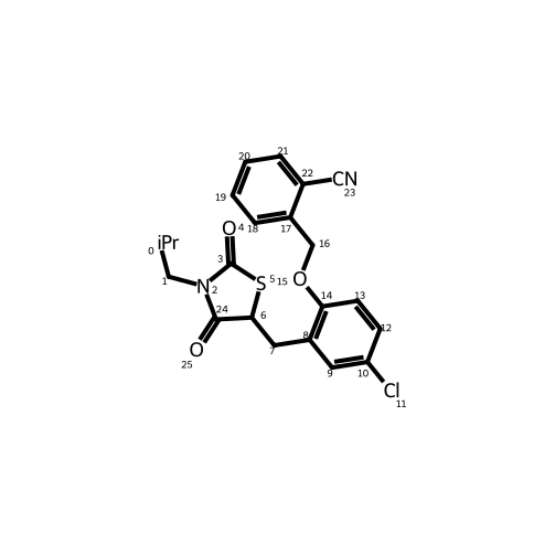 CC(C)CN1C(=O)SC(Cc2cc(Cl)ccc2OCc2ccccc2C#N)C1=O